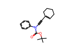 CC(C)(C)OC(=O)N(C#CC1=CCCCC1)c1ccccc1